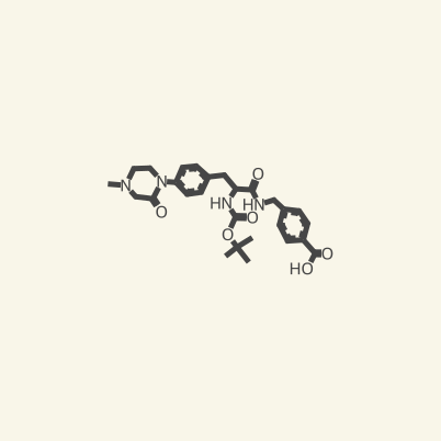 CN1CCN(c2ccc(CC(NC(=O)OC(C)(C)C)C(=O)NCc3ccc(C(=O)O)cc3)cc2)C(=O)C1